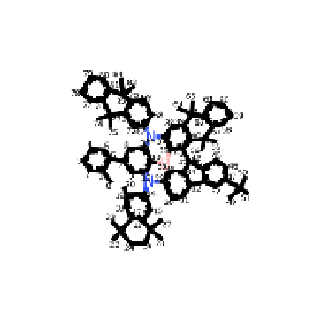 Cc1ccccc1-c1cc2c3c(c1)N(c1cc4c(cc1C)C(C)(C)CCC4(C)C)c1ccc4c5c1B3c1c(cc3c(c1C5(C)c1ccc(C(C)(C)C)cc1-4)C(C)(C)c1ccccc1C3(C)C)N2c1ccc2c(c1)C(C)(C)c1ccccc1C2(C)C